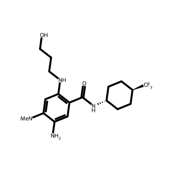 CNc1cc(NCCCO)c(C(=O)N[C@H]2CC[C@H](C(F)(F)F)CC2)cc1N